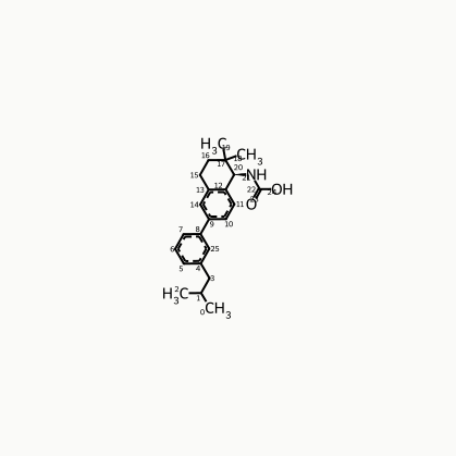 CC(C)Cc1cccc(-c2ccc3c(c2)CCC(C)(C)[C@H]3NC(=O)O)c1